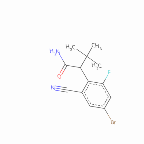 CC(C)(C)C(C(N)=O)c1c(F)cc(Br)cc1C#N